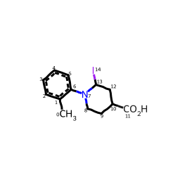 Cc1ccccc1N1CCC(C(=O)O)CC1I